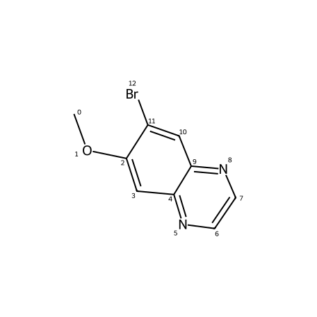 COc1cc2nccnc2cc1Br